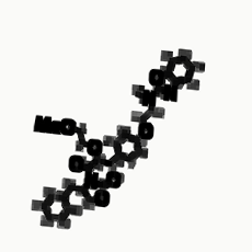 COCCO[C@@H](Cc1ccc(OCCN(C)c2nc3ccccc3o2)cc1)C(=O)N1C(=O)OCC1Cc1ccccc1